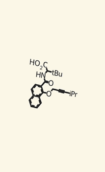 CC(C)C#CCOc1c(C(=O)NC(C(=O)O)C(C)(C)C)ccc2ccccc12